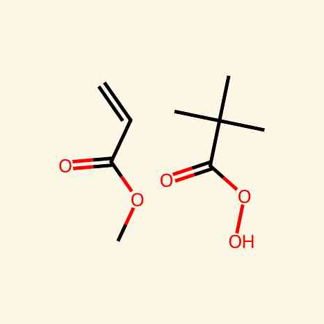 C=CC(=O)OC.CC(C)(C)C(=O)OO